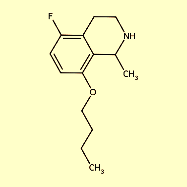 CCCCOc1ccc(F)c2c1C(C)NCC2